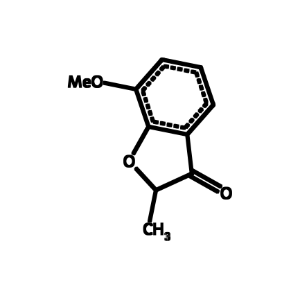 COc1cccc2c1OC(C)C2=O